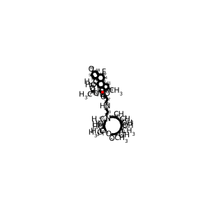 CC[C@H]1OC(=O)[C@H](C)[C@@H](O)[C@H](C)[C@@H](O)[C@](C)(O)C[C@@H](C)CN(CCCNCCC(=O)O[C@]2(C(=O)COC(C)=O)[C@H](C)CC3C4C[C@H](F)C5=CC(=O)C=C[C@]5(C)C4[C@@H](O)C[C@@]32C)[C@H](C)[C@@H](O)[C@]1(C)O